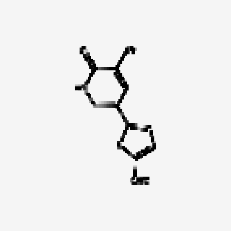 CC(C)c1cc(-c2ccc(C=O)s2)c[nH]c1=O